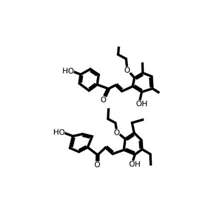 CCCOc1c(C)cc(C)c(O)c1C=CC(=O)c1ccc(O)cc1.CCCOc1c(CC)cc(CC)c(O)c1C=CC(=O)c1ccc(O)cc1